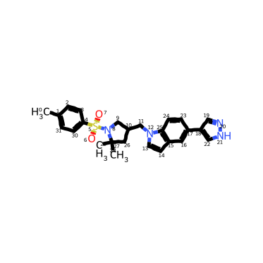 Cc1ccc(S(=O)(=O)N2CC(Cn3ccc4cc(-c5cn[nH]c5)ccc43)CC2(C)C)cc1